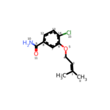 CC(C)=CCOc1cc(C(N)=O)ccc1Cl